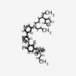 CCCN(CCCC(CC)C1CCOC1)c1cncc(-c2cn(-c3c(F)ccc(NS(=O)(=O)CCC)c3F)nn2)c1